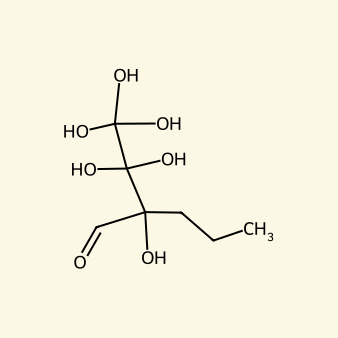 CCCC(O)(C=O)C(O)(O)C(O)(O)O